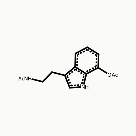 CC(=O)NCCc1c[nH]c2c(OC(C)=O)cccc12